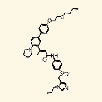 CCCCOCCOc1ccc(-c2ccc(N3CCCC3)c(/C(C)=C/C(=O)Nc3ccc([S@@+]([O-])Cc4cncn4CCC)cc3)c2)cc1